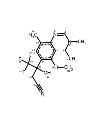 CCN(C)/C=N\c1cc(OC)c(C(O)(CC#N)C(F)(F)F)cc1C